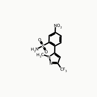 Cn1nc(C(F)(F)F)cc1-c1ccc([N+](=O)[O-])cc1S(N)(=O)=O